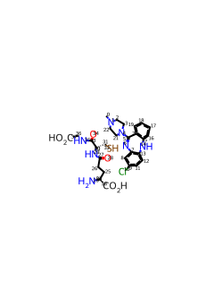 CN1CCN(C2=Nc3cc(Cl)ccc3Nc3ccccc32)CC1.N[C@@H](CCC(=O)N[C@@H](CS)C(=O)NCC(=O)O)C(=O)O